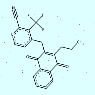 CCCC1=C(Cc2ccnc(C#N)c2C(F)(F)F)C(=O)c2ccccc2C1=O